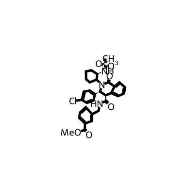 COC(=O)c1cccc(CNC(=O)[C@@H]2c3ccccc3C(=O)N(C3CCCC[C@@H]3NS(C)(=O)=O)[C@H]2c2ccc(Cl)cc2)c1